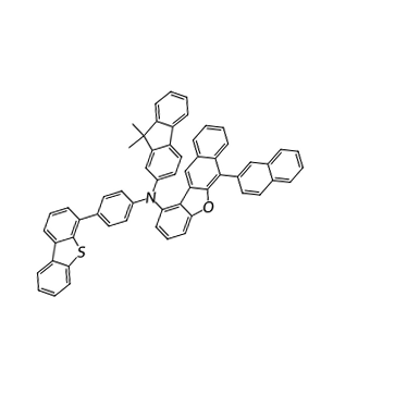 CC1(C)c2ccccc2-c2ccc(N(c3ccc(-c4cccc5c4sc4ccccc45)cc3)c3cccc4oc5c(-c6ccc7ccccc7c6)c6ccccc6cc5c34)cc21